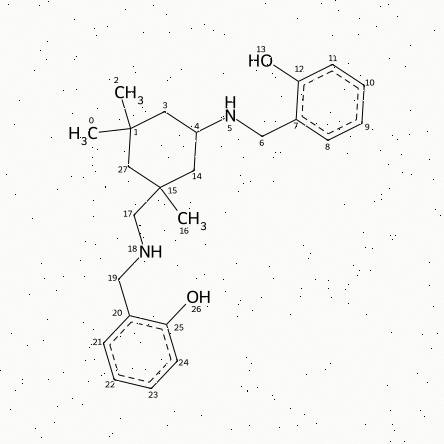 CC1(C)CC(NCc2ccccc2O)CC(C)(CNCc2ccccc2O)C1